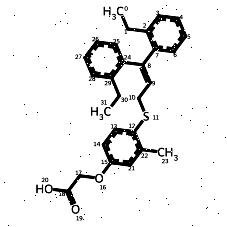 CCc1ccccc1C(=CCSc1ccc(OCC(=O)O)cc1C)c1ccccc1CC